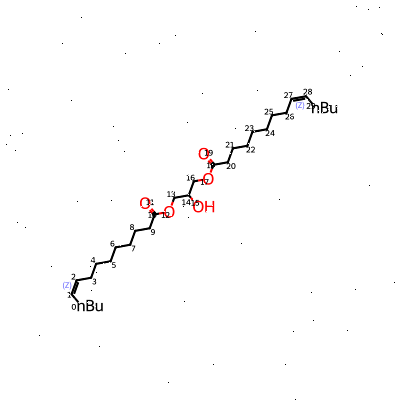 CCCC/C=C\CCCCCCCC(=O)OCC(O)COC(=O)CCCCCCC/C=C\CCCC